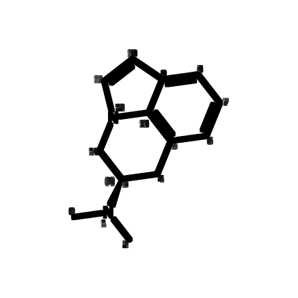 CN(C)[C@@H]1Cc2cccc3ccn(c23)C1